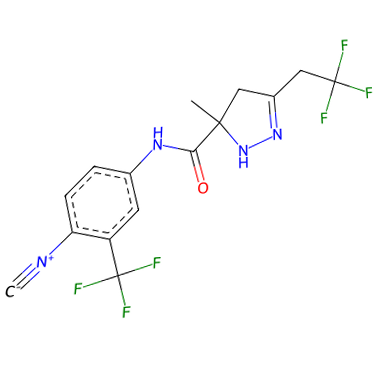 [C-]#[N+]c1ccc(NC(=O)C2(C)CC(CC(F)(F)F)=NN2)cc1C(F)(F)F